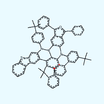 CC(C)(C)c1ccc(N2B3c4cc5c(-c6ccccc6)oc(-c6ccccc6)c5cc4N(c4ccc(C(C)(C)C)cc4-c4ccccc4)c4cc5c(c(c43)-c3cc4c(cc32)sc2ccccc24)C(C)(C)c2ccccc2-5)cc1